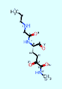 CCCNCC(=O)N[C@H](C=O)CCC(=O)C(=O)NC